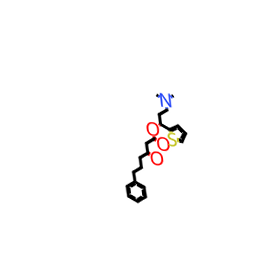 CN(C)CCC(OC(=O)CC(=O)CCCc1ccccc1)c1cccs1